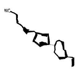 C=C[C@H]1CC[C@H](c2ccc(C#CC=CC#N)cc2)CC1